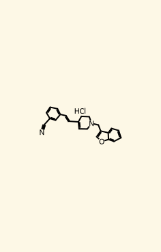 Cl.N#Cc1cccc(C=CC2=CCN(Cc3coc4ccccc34)CC2)c1